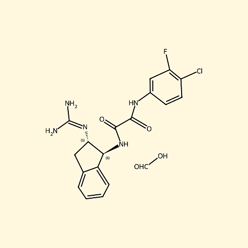 NC(N)=N[C@H]1Cc2ccccc2[C@@H]1NC(=O)C(=O)Nc1ccc(Cl)c(F)c1.O=CO